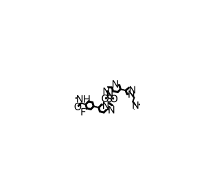 CNC(=O)c1ccc(-c2ccc3ncc(S(=O)(=O)n4ncc5ncc(-c6cnn(CCN(C)C)c6)cc54)n3c2)cc1F